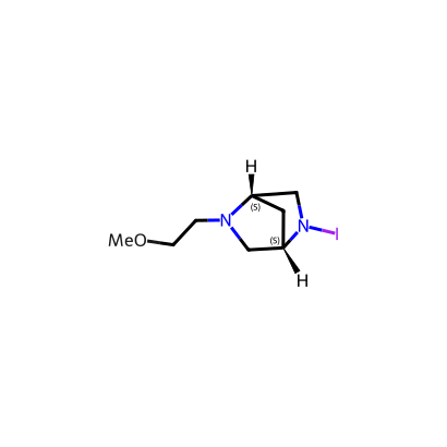 COCCN1C[C@@H]2C[C@H]1CN2I